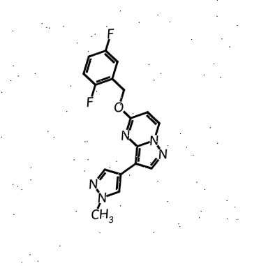 Cn1cc(-c2cnn3ccc(OCc4cc(F)ccc4F)nc23)cn1